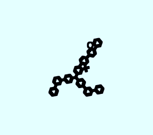 CC1(C)c2cc(-c3ccc4c(c3)oc3ccccc34)ccc2-c2ccc(C(c3ccc(-c4cccc(-c5ccccc5)c4)cc3)c3ccc(-c4cccc(-c5ccccc5)c4)cc3)cc21